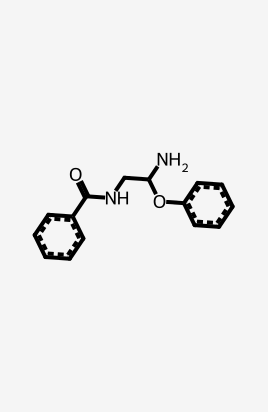 NC(CNC(=O)c1ccccc1)Oc1ccccc1